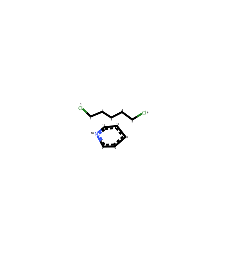 ClCCCCCCl.c1ccncc1